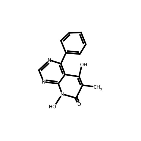 Cc1c(O)c2c(-c3ccccc3)ncnc2n(O)c1=O